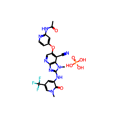 CC(=O)Nc1cc(Oc2cnc3nc(Nc4cc(C(F)(F)F)cn(C)c4=O)n(C)c3c2C#N)ccn1.O=P(O)(O)O